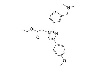 CCOC(=O)Cn1nc(-c2ccc(OC)cc2)nc1-c1cccc(CN(C)C)c1